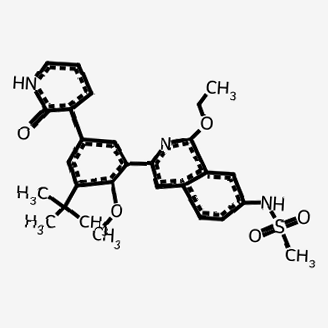 CCOc1nc(-c2cc(-c3ccc[nH]c3=O)cc(C(C)(C)C)c2OC)cc2ccc(NS(C)(=O)=O)cc12